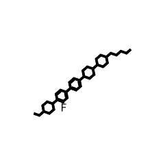 CCCCCC1CCC(C2CCC(c3ccc(-c4ccc(C5CCC(CC)CC5)c(F)c4)cc3)CC2)CC1